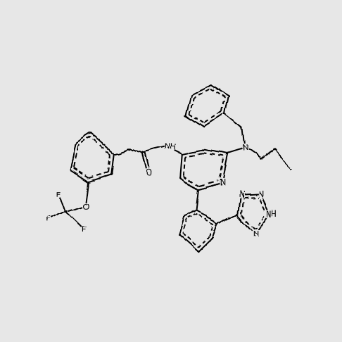 CCCN(Cc1ccccc1)c1cc(NC(=O)Cc2cccc(OC(F)(F)F)c2)cc(-c2ccccc2-c2nn[nH]n2)n1